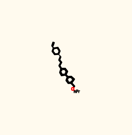 C=C[C@H]1CC[C@H](CCCCc2ccc(-c3ccc(COCCC)cc3)cc2)CC1